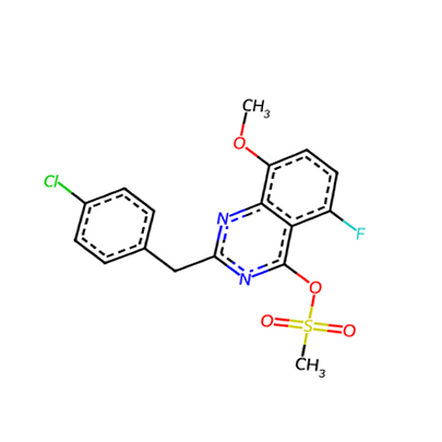 COc1ccc(F)c2c(OS(C)(=O)=O)nc(Cc3ccc(Cl)cc3)nc12